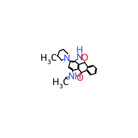 CCNc1cc(N2CCCC(C)C2)c2c3c1C(=O)c1ccccc1C3ON2